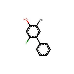 CC(=O)c1cc(-c2ccccc2)c(F)cc1O